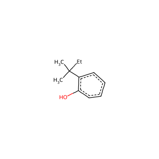 CCC(C)(C)c1ccccc1O